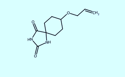 C=CCOC1CCC2(CC1)NC(=O)NC2=O